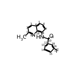 Cc1ccc2cccc(NC(=O)c3cccc(F)c3)c2n1